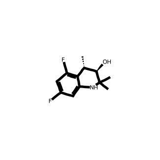 C[C@H]1c2c(F)cc(F)cc2NC(C)(C)[C@@H]1O